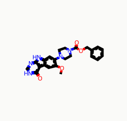 COc1cc2c(cc1N1CCN(C(=O)OCc3ccccc3)CC1)[nH]c1nc[nH]c(=O)c12